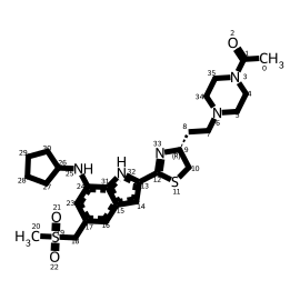 CC(=O)N1CCN(CC[C@@H]2CSC(c3cc4cc(CS(C)(=O)=O)cc(NC5CCCC5)c4[nH]3)=N2)CC1